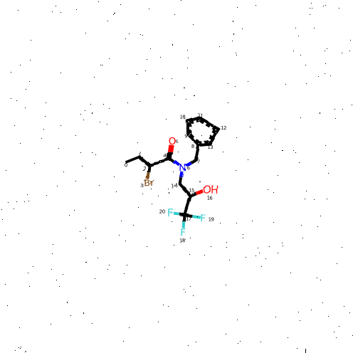 CCC(Br)C(=O)N(Cc1ccccc1)CC(O)C(F)(F)F